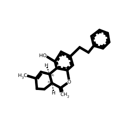 C=C1Oc2cc(CCc3ccccc3)cc(O)c2[C@@H]2C=C(C)CC[C@H]12